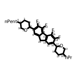 CCCCCC1CCC(c2cc3c(c(F)c2F)-c2c(cc(C4CCC(CCC)CO4)c(F)c2F)C3)OC1